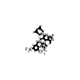 Cc1nn(C)c2nc(N(CC3CC3)CC3CC3)c(CN(Cc3cc(C(F)(F)F)cc(C(F)(F)F)c3)c3nnn(C)n3)cc12